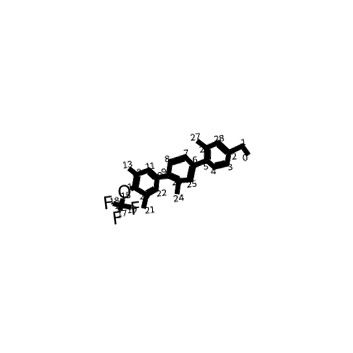 CCc1ccc(-c2ccc(-c3cc(C)c(OC(F)(F)F)c(C)c3)c(C)c2)c(C)c1